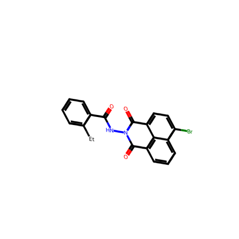 CCc1ccccc1C(=O)NN1C(=O)c2cccc3c(Br)ccc(c23)C1=O